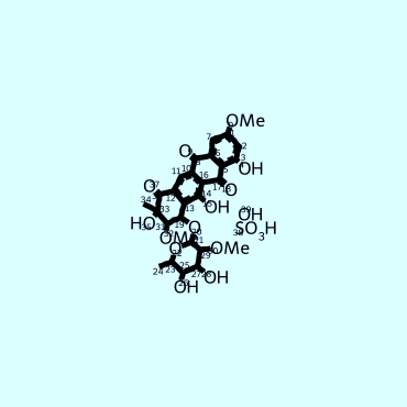 COc1cc(O)c2c(c1)C(=O)c1cc3c(c(O)c1C2=O)C(OC1OC(C)C(O)C(O)C1OC)C(OC)C(C)(O)C3=O.O=S(=O)(O)O